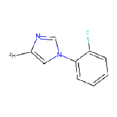 [2H]c1cn(-c2ccccc2F)cn1